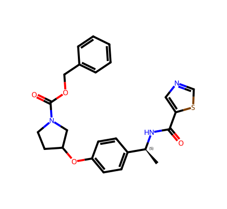 C[C@H](NC(=O)c1cncs1)c1ccc(OC2CCN(C(=O)OCc3ccccc3)C2)cc1